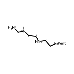 [CH2]CCCCCCNCCNCN